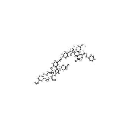 CN(C)CC[C@H](CSc1ccccc1)Nc1ccc(S(=O)(=O)Nc2ccc(C#Cc3cccc(-c4c(-c5ccc(Cl)cc5)cn(CC[C@H](O)CO)c4C(=O)NCCCN4CCN(C)CC4)c3)cc2)cc1[N+](=O)[O-]